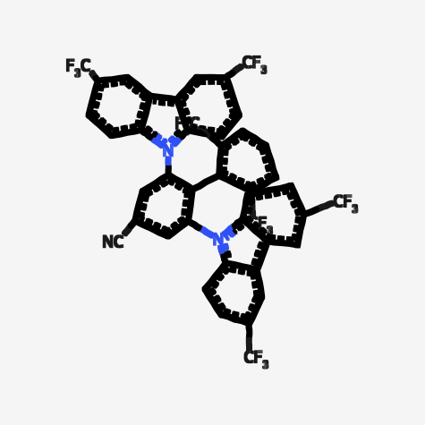 N#Cc1cc(-n2c3ccc(C(F)(F)F)cc3c3cc(C(F)(F)F)ccc32)c(-c2c(C(F)(F)F)cccc2C(F)(F)F)c(-n2c3ccc(C(F)(F)F)cc3c3cc(C(F)(F)F)ccc32)c1